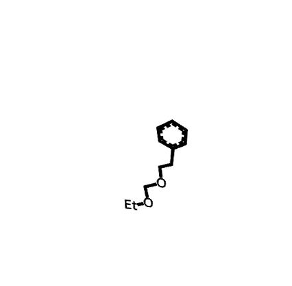 CCOCOCCc1ccccc1